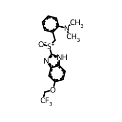 CN(C)c1ccccc1C[S+]([O-])c1nc2cc(OCC(F)(F)F)ccc2[nH]1